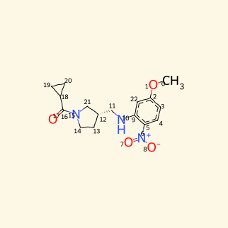 COc1ccc([N+](=O)[O-])c(NC[C@@H]2CCN(C(=O)C3CC3)C2)c1